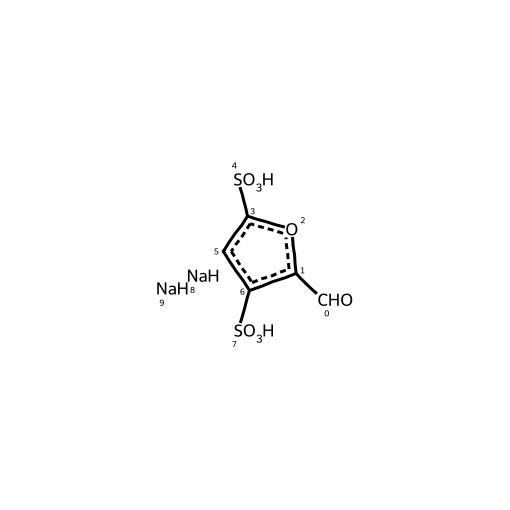 O=Cc1oc(S(=O)(=O)O)cc1S(=O)(=O)O.[NaH].[NaH]